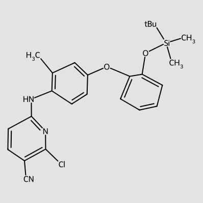 Cc1cc(Oc2ccccc2O[Si](C)(C)C(C)(C)C)ccc1Nc1ccc(C#N)c(Cl)n1